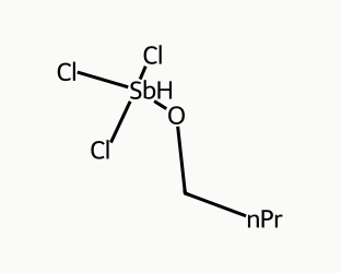 CCCC[O][SbH]([Cl])([Cl])[Cl]